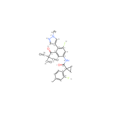 Cc1ccc(C2(C(=O)Nc3cc(F)c(-c4cnn(C(C)C)c4)c(C(=O)C(C=O)(C=O)C=O)c3)CC2)c(F)c1